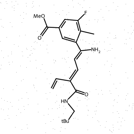 C=C/C(=C\C=C(/N)c1cc(C(=O)OC)cc(F)c1C)C(=O)NCC(C)(C)C